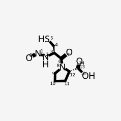 O=NN[C@@H](CS)C(=O)N1CCC[C@H]1C(=O)O